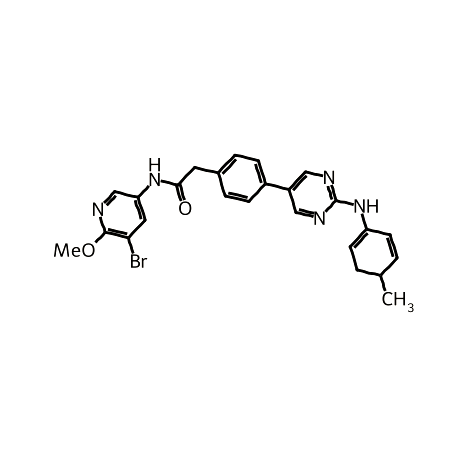 COc1ncc(NC(=O)Cc2ccc(-c3cnc(NC4=CCC(C)C=C4)nc3)cc2)cc1Br